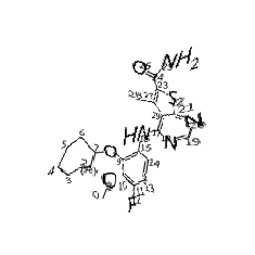 CO[C@@H]1CCCCC1Oc1cc(F)ccc1Nc1ncnc2sc(C(N)=O)c(C)c12